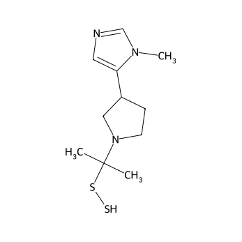 Cn1cncc1C1CCN(C(C)(C)SS)C1